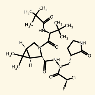 CC(C)(C)C(=O)N[C@H](C(=O)N1C[C@H]2[C@@H]([C@H]1C(=O)NN(C[C@@H]1CCNC1=O)C(=O)[C@H](F)Cl)C2(C)C)C(C)(C)C